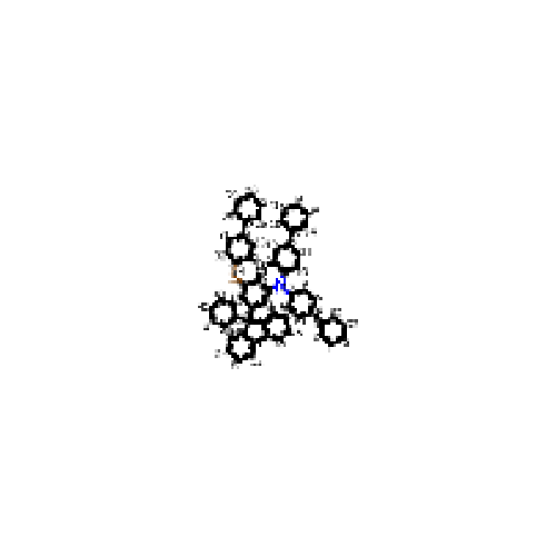 c1ccc(-c2ccc(N3c4ccc(-c5ccccc5)cc4B4c5cc(-c6ccccc6)ccc5Sc5cc(C6(c7ccccc7)c7ccccc7-c7ccccc76)cc3c54)cc2)cc1